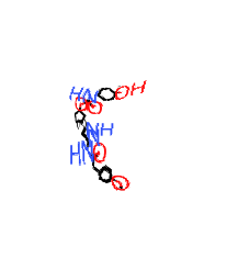 COc1ccc(CC(=O)Nc2cc([C@@H]3CCC(OC(=O)N[C@H]4CC[C@](C)(O)CC4)C3)[nH]n2)cc1